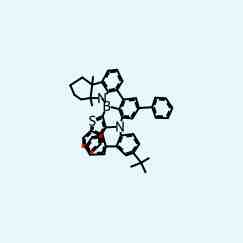 CC(C)(C)c1ccc(N2c3cc(-c4ccccc4)cc4c3B(c3sc5ccccc5c32)N2c3c-4cccc3C3(C)CCCCC23C)c(-c2ccccc2)c1